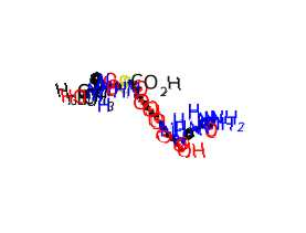 CCCCc1nc2c(NC(=O)OCCSSC[C@H](NC(=O)CCOCCOCCOCCNC(=O)CCC(COCO)NC(=O)c3ccc(NCc4cnc5nc(N)[nH]c(=O)c5n4)cc3)C(=O)O)nc3ccccc3c2n1CC(C)(C)CO